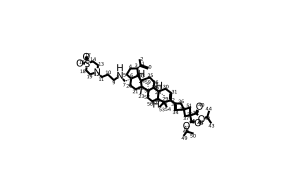 C=C(C)[C@@H]1CC[C@]2(CNCCCN3CCS(=O)(=O)CC3)CC[C@]3(C)C(CC[C@@H]4[C@@]5(C)CC=C(C6=CC7(C6)CC(C(=O)OC(C)C)(C(=O)OC(C)C)C7)C(C)(C)[C@@H]5CC[C@]43C)[C@@H]12